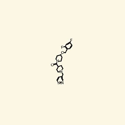 O=C(C1CCN(Cc2ccnnc2)CC1)N1CCC(OCc2ccc(F)cc2F)CC1